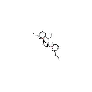 CCCCCCN1C=CN(CCCCC)C1(Cc1ccccc1)C(CC)c1ccccc1